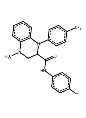 CN1CC(C(=O)Nc2ccc(F)cc2)N(c2ccc(C(F)(F)F)cc2)c2ccccc21